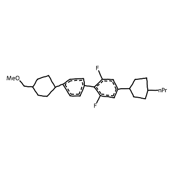 CCCC1CCC(c2cc(F)c(-c3ccc(C4CCC(COC)CC4)cc3)c(F)c2)CC1